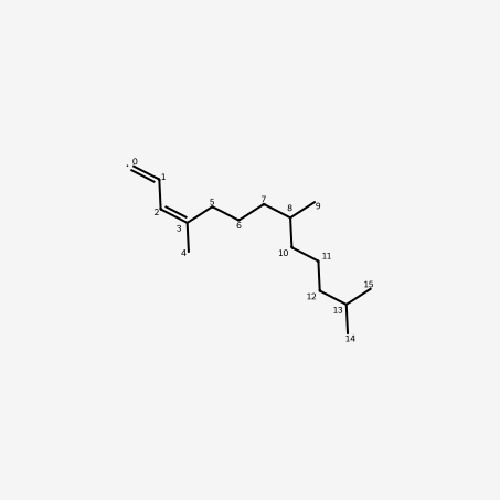 [CH]=CC=C(C)CCCC(C)CCCC(C)C